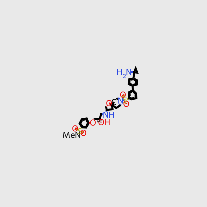 CNS(=O)(=O)c1cccc(OC[C@@H](O)CNC2COC3(CCN(S(=O)(=O)c4cccc(-c5ccc(C6(N)CC6)cc5)c4)CC3)C2)c1